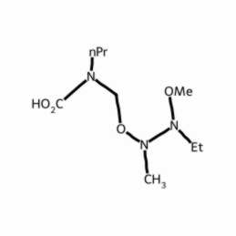 CCCN(CON(C)N(CC)OC)C(=O)O